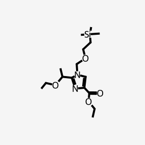 CCOC(=O)c1cn(COCC[Si](C)(C)C)c(C(C)OCC)n1